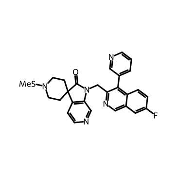 CSN1CCC2(CC1)C(=O)N(Cc1ncc3cc(F)ccc3c1-c1cccnc1)c1cnccc12